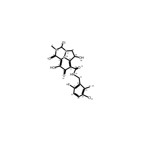 CCC1N(C)C(=O)c2c(O)c(=O)c(C(=O)NCc3c(F)ccc(Cl)c3F)c3n2N1CC3O